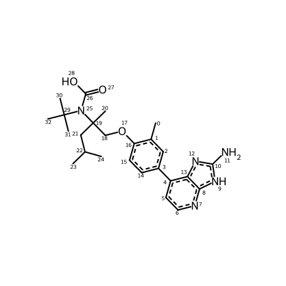 Cc1cc(-c2ccnc3[nH]c(N)nc23)ccc1OCC(C)(CC(C)C)N(C(=O)O)C(C)(C)C